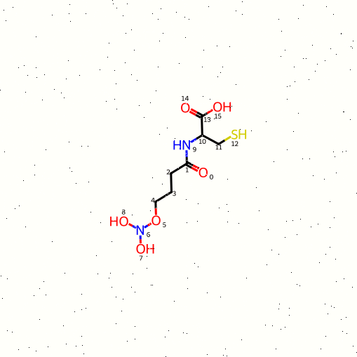 O=C(CCCON(O)O)NC(CS)C(=O)O